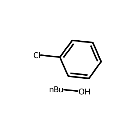 CCCCO.Clc1ccccc1